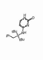 CC(C)C[Si](Nc1cc[nH]c(=O)n1)(C(C)(C)C)C(C)(C)C